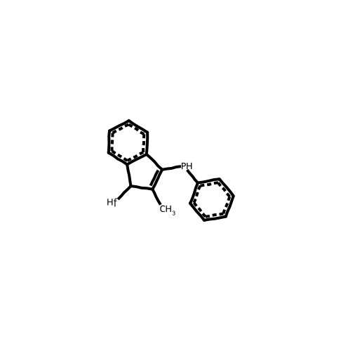 CC1=C(Pc2ccccc2)c2ccccc2[CH]1[Hf]